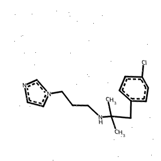 CC(C)(Cc1ccc(Cl)cc1)NCCCn1ccnc1